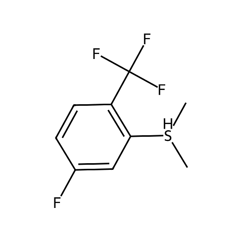 C[SH](C)c1cc(F)ccc1C(F)(F)F